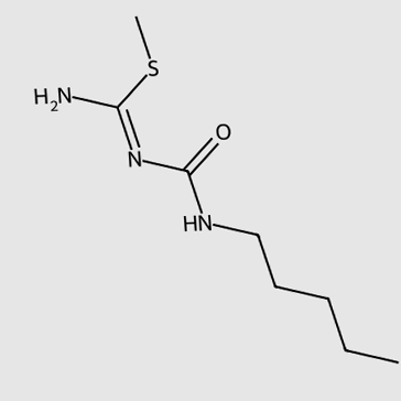 CCCCCNC(=O)N=C(N)SC